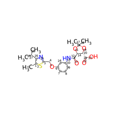 Cc1sc(COc2cccc(NC(=O)[C@H]3OC(C)(C)O[C@@H]3C(=O)O)c2)nc1C(C)C